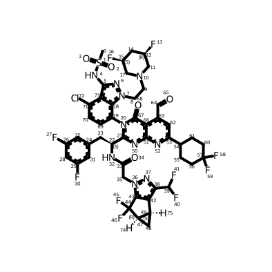 CS(=O)(=O)Nc1nn(CCN2C[C@H](F)C[C@H](F)C2)c2c(-n3c([C@H](Cc4cc(F)cc(F)c4)NC(=O)Cn4nc(C(F)F)c5c4C(F)(F)[C@@H]4C[C@H]54)nc4nc(C5CCC(F)(F)CC5)cc(C=O)c4c3=O)ccc(Cl)c12